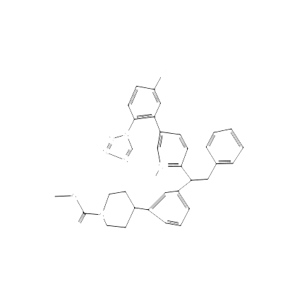 CCNC(=O)N1CCC(c2cccc(C(Cc3ccccc3)c3ccc(-c4cc(Cl)ccc4-n4cnnn4)c[n+]3[O-])c2)CC1